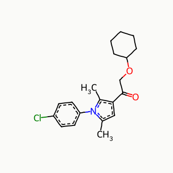 Cc1cc(C(=O)COC2CCCCC2)c(C)n1-c1ccc(Cl)cc1